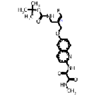 CNC(=O)C(=O)Nc1ccc2cc(OC/C(=C/F)CNC(=O)OC(C)(C)C)ccc2n1